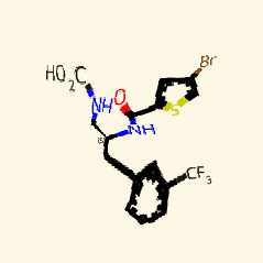 O=C(O)NC[C@H](Cc1cccc(C(F)(F)F)c1)NC(=O)c1cc(Br)cs1